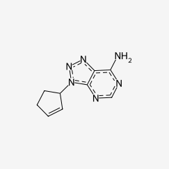 Nc1ncnc2c1nnn2C1C=CCC1